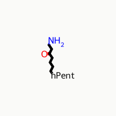 CCCCCCCCCC(=O)CCN